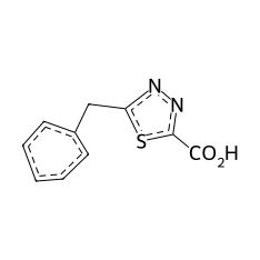 O=C(O)c1nnc(Cc2ccccc2)s1